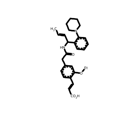 C/C=C/C(NC(=O)Cc1ccc(/C=C/C(=O)O)c(OCC)c1)c1ccccc1N1CCCCC1